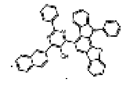 N#Cc1c(-c2ccc3ccccc3c2)nc(-c2ccccc2)nc1-c1cc2c3ccccc3oc2c2c1c1ccccc1n2-c1ccccc1